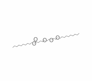 CCCCCCCCCCOCCOCCOCCCC(=O)OCCCCCCCCCC